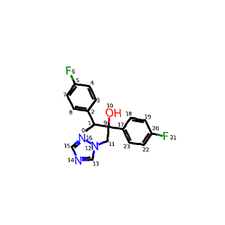 CC(c1ccc(F)cc1)C(O)(Cn1cncn1)c1ccc(F)cc1